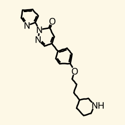 O=c1cc(-c2ccc(OCCCC3CCCNC3)cc2)cnn1-c1ccccn1